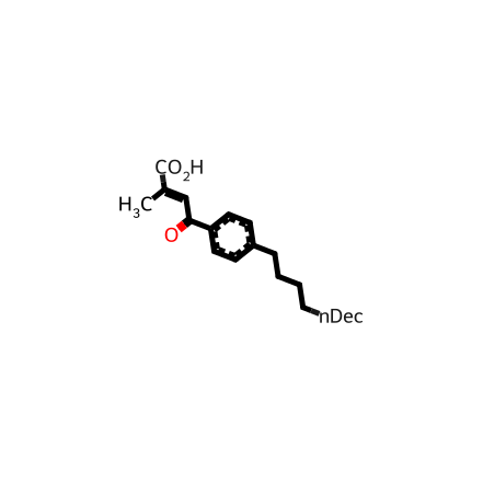 CCCCCCCCCCCCCCc1ccc(C(=O)/C=C(\C)C(=O)O)cc1